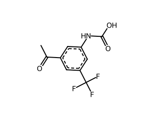 CC(=O)c1cc(NC(=O)O)cc(C(F)(F)F)c1